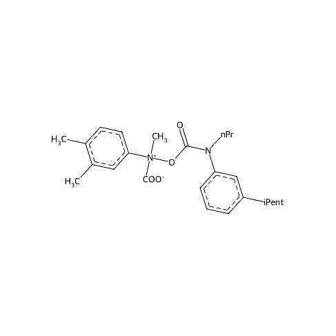 CCCC(C)c1cccc(N(CCC)C(=O)O[N+](C)(C(=O)[O-])c2ccc(C)c(C)c2)c1